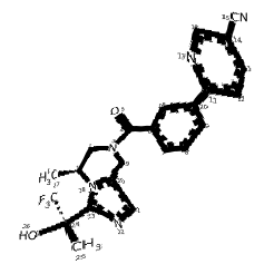 C[C@H]1CN(C(=O)c2cccc(-c3ccc(C#N)cn3)c2)Cc2cnc([C@@](C)(O)C(F)(F)F)n21